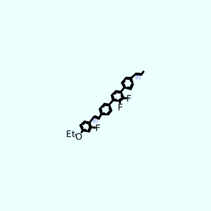 C/C=C/c1ccc(-c2ccc(-c3ccc(/C=C/c4ccc(OCC)cc4F)cc3)c(F)c2F)cc1